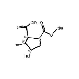 CC(C)COC(=O)[C@@H]1[C@H](C)[C@@H](O)CN1C(=O)OC(C)(C)C